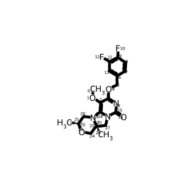 COc1c(OCc2ccc(F)c(F)c2)nc(=O)n2c1N1C[C@H](C)OC[C@@]1(C)C2